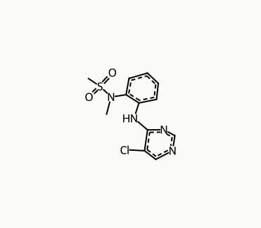 CN(c1ccccc1Nc1ncncc1Cl)S(C)(=O)=O